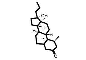 CCC[C@]1(O)CC[C@H]2[C@@H]3CCC4CC(=O)C[C@H](C)[C@]4(C)[C@H]3CC[C@@]21C